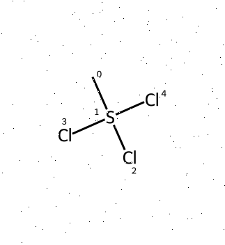 CS(Cl)(Cl)Cl